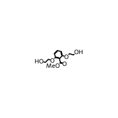 COC(=O)c1c(OCCO)cccc1OCCO